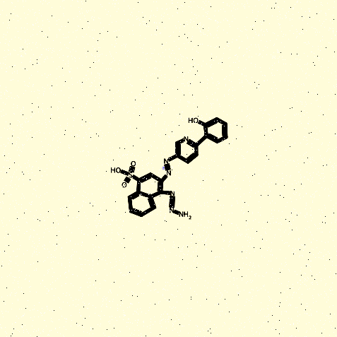 NN=Nc1c(/N=N/c2ccc(-c3ccccc3O)nc2)cc(S(=O)(=O)O)c2ccccc12